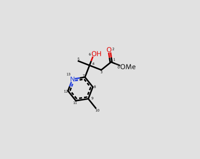 COC(=O)CC(C)(O)c1cc(C)ccn1